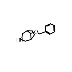 c1ccc(COC2C3CCC2CNC3)cc1